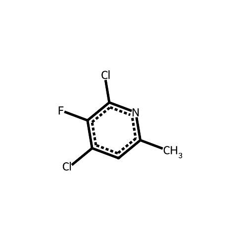 Cc1cc(Cl)c(F)c(Cl)n1